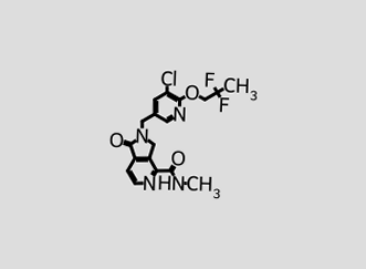 CNC(=O)c1nccc2c1CN(Cc1cnc(OCC(C)(F)F)c(Cl)c1)C2=O